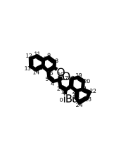 CCC(C)C1=CC2(C=Cc3c(ccc4ccccc34)O2)Oc2ccc3ccccc3c21